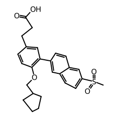 CS(=O)(=O)c1ccc2cc(-c3cc(CCC(=O)O)ccc3OCC3CCCC3)ccc2c1